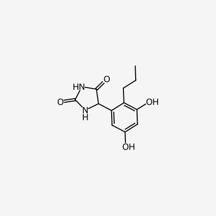 CCCc1c(O)cc(O)cc1C1NC(=O)NC1=O